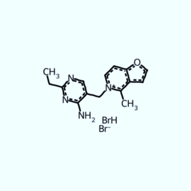 Br.CCc1ncc(C[n+]2ccc3occc3c2C)c(N)n1.[Br-]